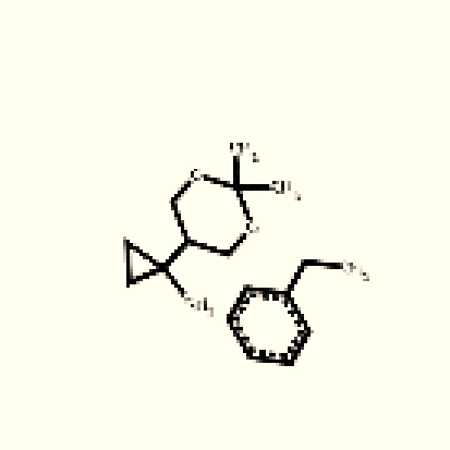 CC1(C)OCC(C2(N)CC2)CO1.CCc1ccccc1